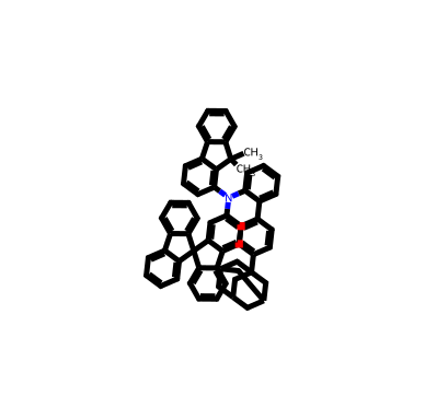 CC1(C)c2ccccc2-c2cccc(N(c3ccc4c(c3)C3(c5ccccc5-c5ccccc53)c3ccccc3-4)c3ccccc3-c3ccc(C45CC6CC(CC(C6)C4)C5)cc3)c21